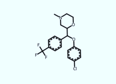 CN1CCOC(C(Oc2ccc(Cl)cc2)c2ccc(C(F)(F)F)cc2)C1